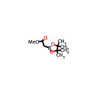 COC(=O)CB1OC(C)(C)C(C)(C)O1